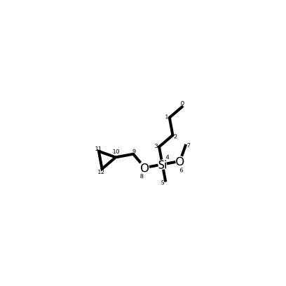 CCCC[Si](C)(OC)OCC1CC1